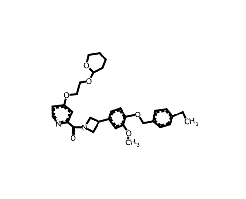 CCc1ccc(COc2ccc(C3CN(C(=O)c4cc(OCCOC5CCCCO5)ccn4)C3)cc2OC)cc1